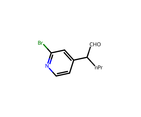 CCCC(C=O)c1ccnc(Br)c1